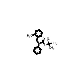 Cc1ccccc1CN(C(=O)OC(C)(C)C)c1ccccc1